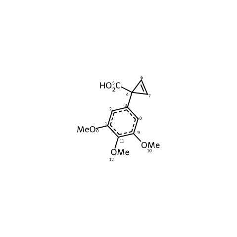 COc1cc(C2(C(=O)O)C=C2)cc(OC)c1OC